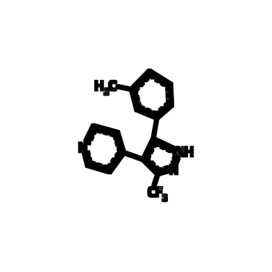 Cc1cccc(-c2[nH]nc(C(F)(F)F)c2-c2ccncc2)c1